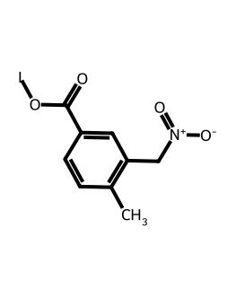 Cc1ccc(C(=O)OI)cc1C[N+](=O)[O-]